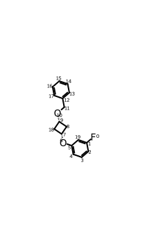 Fc1cccc(O[C@H]2C[C@@H](OCc3ccccc3)C2)c1